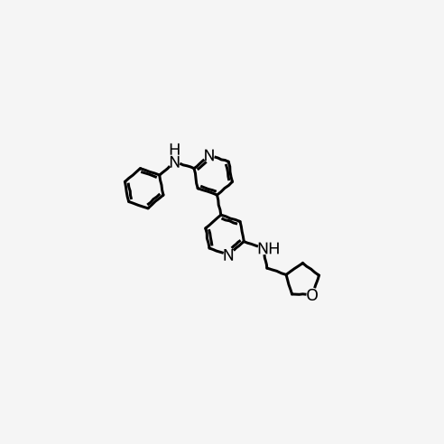 c1ccc(Nc2cc(-c3ccnc(NCC4CCOC4)c3)ccn2)cc1